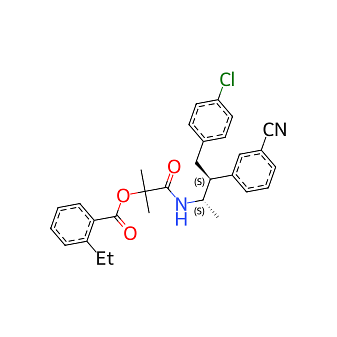 CCc1ccccc1C(=O)OC(C)(C)C(=O)N[C@@H](C)[C@@H](Cc1ccc(Cl)cc1)c1cccc(C#N)c1